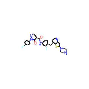 CN1CCN(c2cc3nccc(Cc4ccc(NC(=O)c5ccnn(-c6ccc(F)cc6)c5=O)cc4F)c3s2)CC1